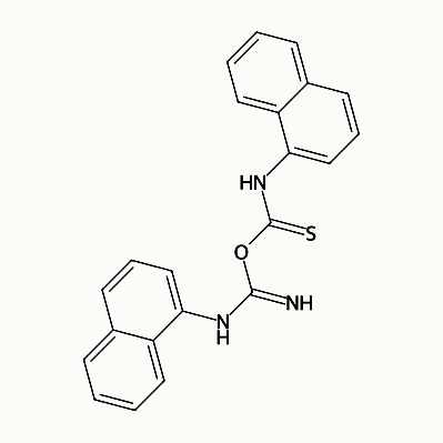 N=C(Nc1cccc2ccccc12)OC(=S)Nc1cccc2ccccc12